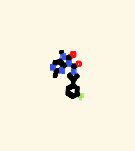 Cc1ncc2c(n1)n(C(=O)N1CC(c3cccc(F)c3)C1)c(=O)n2C